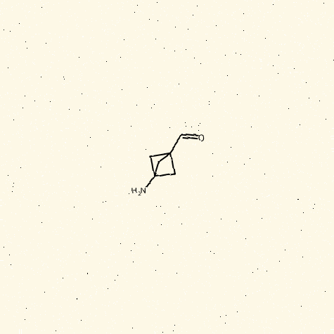 NC12CC(C=O)(C1)C2